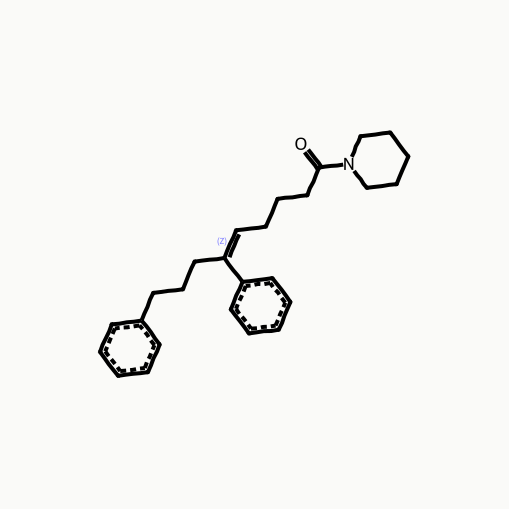 O=C(CCC/C=C(/CCCc1ccccc1)c1ccccc1)N1CCCCC1